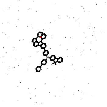 CC1(C)c2ccccc2-c2ccc(N(c3ccc(-c4ccc5c(c4)-c4ccc6c(c4C5c4ccccc4)C(c4ccccc4)C=C6)cc3)c3ccc(-c4ccccn4)cc3)cc21